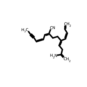 C=C/C=C\C(=C/CC(=C)N)CC/C(C#N)=C\C=C/C#CC